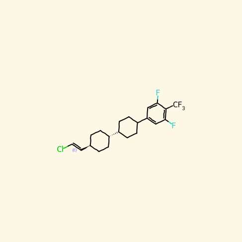 Fc1cc(C2CCC([C@H]3CC[C@H](/C=C/Cl)CC3)CC2)cc(F)c1C(F)(F)F